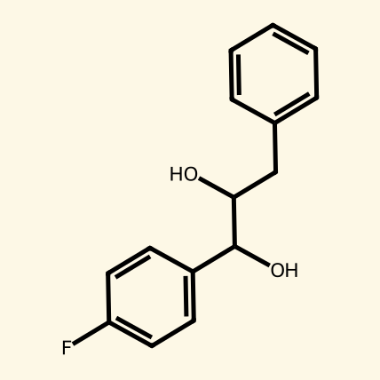 OC(Cc1ccccc1)C(O)c1ccc(F)cc1